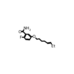 CCC=CCCCCOc1ccc(F)c(C(N)=O)c1